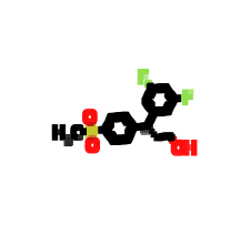 CS(=O)(=O)c1ccc([C@@H](CCO)c2cc(F)cc(F)c2)cc1